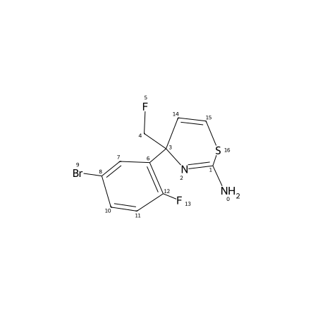 NC1=NC(CF)(c2cc(Br)ccc2F)C=CS1